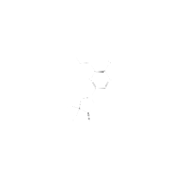 C=C1OB(c2cnc(N)c(OCC(F)(F)F)n2)OC1(C)C